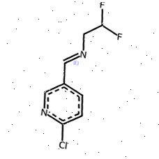 FC(F)C/N=C/c1ccc(Cl)nc1